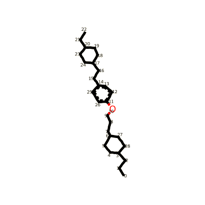 CCCC1CCC(CCCOc2ccc(CCC3CCC(CC)CC3)cc2)CC1